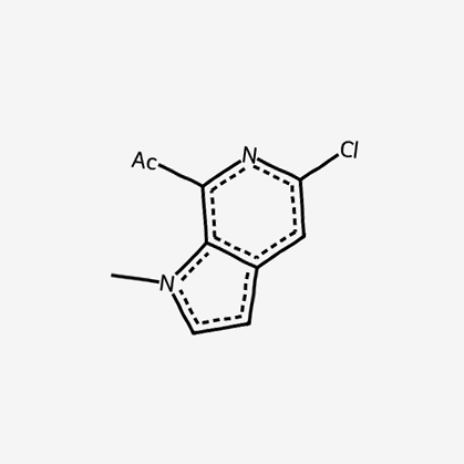 CC(=O)c1nc(Cl)cc2ccn(C)c12